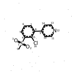 CS(=O)(=O)c1cccc(-c2ccncc2)c1Cl